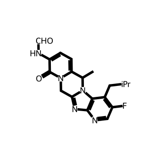 CC(C)Cc1c(F)cnc2nc3n(c12)C(C)c1ccc(NC=O)c(=O)n1C3